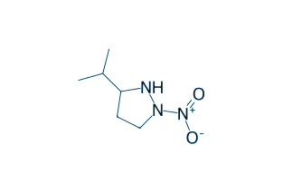 CC(C)C1CCN([N+](=O)[O-])N1